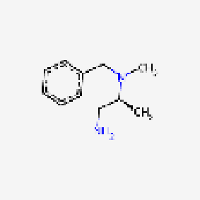 C[C@@H](CN)N(C)Cc1ccccc1